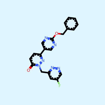 O=c1ccc(-c2cnc(OCc3ccccc3)nc2)nn1Cc1cc(F)cnn1